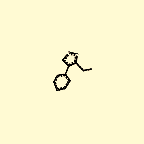 CCc1oncc1-c1ccccc1